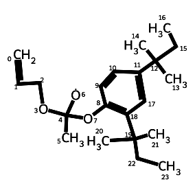 C=CCOC(C)([O])Oc1ccc(C(C)(C)CC)cc1C(C)(C)CC